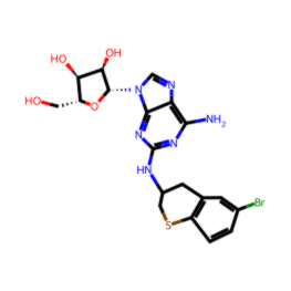 Nc1nc(NC2CSc3ccc(Br)cc3C2)nc2c1ncn2[C@@H]1O[C@H](CO)[C@@H](O)[C@H]1O